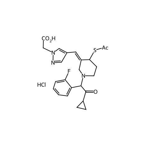 CC(=O)SC1CCN(C(C(=O)C2CC2)c2ccccc2F)C/C1=C\c1cnn(CC(=O)O)c1.Cl